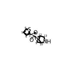 O=S(=O)(c1cccs1)N1CC2CC1CN2